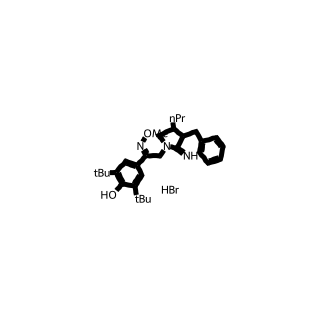 Br.CCCC1CN(CC(=NOC)c2cc(C(C)(C)C)c(O)c(C(C)(C)C)c2)C(=N)C1Cc1ccccc1